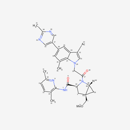 COC[C@@]12C[C@@H](C(=O)Nc3nc(C(F)(F)F)ccc3C)N(C(=O)Cn3cc(C(C)=O)c4cc(-c5cnc(C)nc5)cc(C)c43)[C@@H]1C2